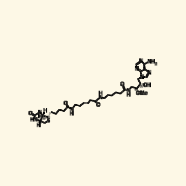 CO[C@H](CNC(=O)CCCCCNC(=O)CCCCCNC(=O)CCCC[C@@H]1SC[C@@H]2NC(=O)N[C@@H]21)[C@@H](O)Cn1cnc2c(N)ncnc21